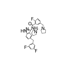 O=C(Nc1n[nH]c2ccc(Cc3cc(F)cc(F)c3)cc12)c1cc(CN2CCC[C@@H]2CN2CCCC2)ccc1F